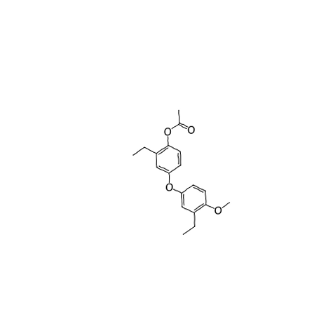 CCc1cc(Oc2ccc(OC(C)=O)c(CC)c2)ccc1OC